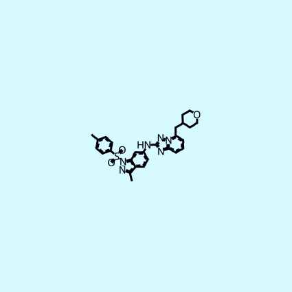 Cc1ccc(S(=O)(=O)n2nc(C)c3ccc(Nc4nc5cccc(CC6CCOCC6)n5n4)cc32)cc1